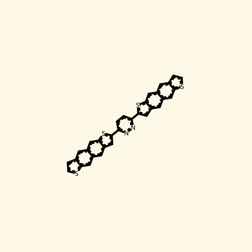 c1cc2cc3cc4sc(-c5ccc(-c6cc7cc8cc9sccc9cc8cc7s6)nn5)cc4cc3cc2s1